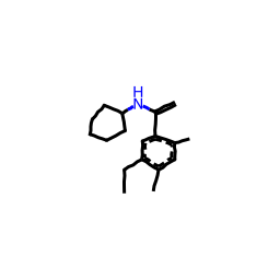 C=C(NC1CCCCC1)c1cc(CC)c(C)cc1C